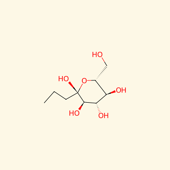 CCC[C@]1(O)O[C@H](CO)[C@@H](O)[C@H](O)[C@H]1O